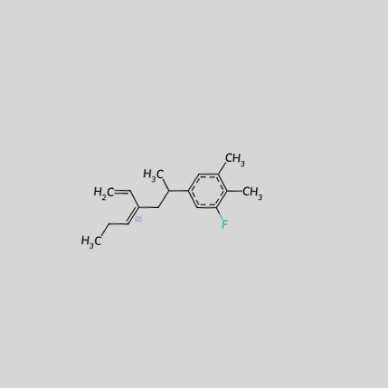 C=C/C(=C\CC)CC(C)c1cc(C)c(C)c(F)c1